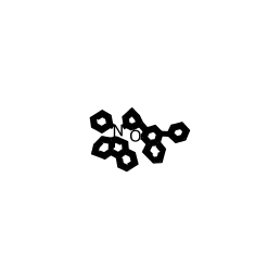 c1ccc(-c2cc3c4cccc(N(c5ccccc5)c5cc6ccccc6c6ccccc56)c4oc3c3ccccc23)cc1